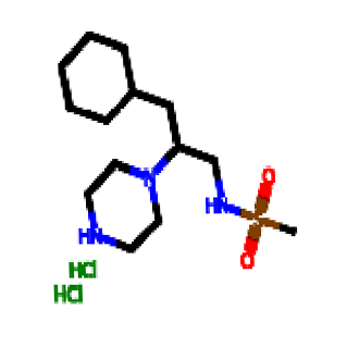 CS(=O)(=O)NCC(CC1CCCCC1)N1CCNCC1.Cl.Cl